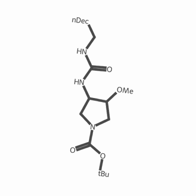 CCCCCCCCCCCNC(=O)NC1CN(C(=O)OC(C)(C)C)CC1OC